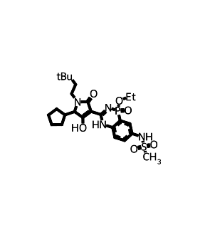 CCOP1(=O)N=C(C2=C(O)C(C3CCCC3)N(CCC(C)(C)C)C2=O)Nc2ccc(NS(C)(=O)=O)cc21